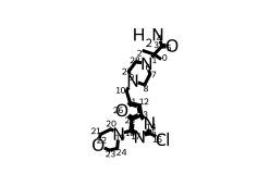 CC(C)(C(N)=O)N1CCN(Cc2cc3nc(Cl)nc(N4CCOCC4)c3o2)CC1